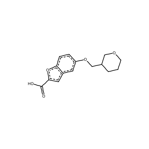 O=C(O)c1cc2cc(OCC3CCCOC3)ccc2o1